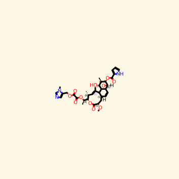 CO[C@H]1C[C@H]2C=CC3C4[C@H](O)[C@@H](C)[C@@H](OC(=O)c5ccc[nH]5)[C@@H]3O[C@]42/C(C)=C/[C@@H](C)[C@@H]([C@@H](C)OC(=O)C(=O)OCc2cncn2C)OC1=O